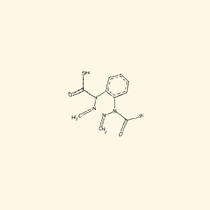 C=NN(C(=O)S)c1ccccc1N(N=C)C(=O)S